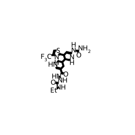 CCNC(=O)NNC(=O)C1=CNCC(C2CNC(NC(N)=O)=CC2C2NC(C(F)(F)F)=CS2)C1